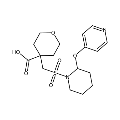 O=C(O)C1(CS(=O)(=O)N2CCCCC2Oc2ccncc2)CCOCC1